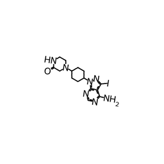 Nc1ncnc2c1c(I)nn2C1CCC(N2CCNC(=O)C2)CC1